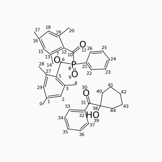 Cc1cc(C)c(C(=O)P(=O)(C(=O)c2c(C)cc(C)cc2C)c2ccccc2)c(C)c1.O=C(c1ccccc1)C1(O)CCCCC1